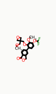 COCC1(COc2c(-c3ccc4c(c3)COC4=O)ccc(OC(F)F)c2OC)COC1